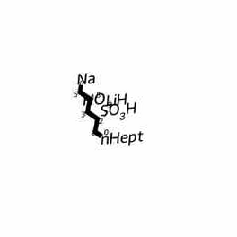 CCCCCCCCCCC[CH2][Na].O=S(=O)(O)O.[LiH]